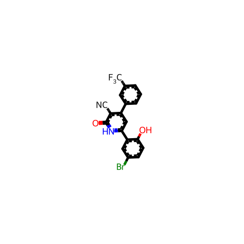 N#Cc1c(-c2cccc(C(F)(F)F)c2)cc(-c2cc(Br)ccc2O)[nH]c1=O